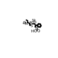 CC/C(=N\OC)c1csc(C(O[Si](C)(C)C)c2cn(C(=O)O)c3ccccc23)n1